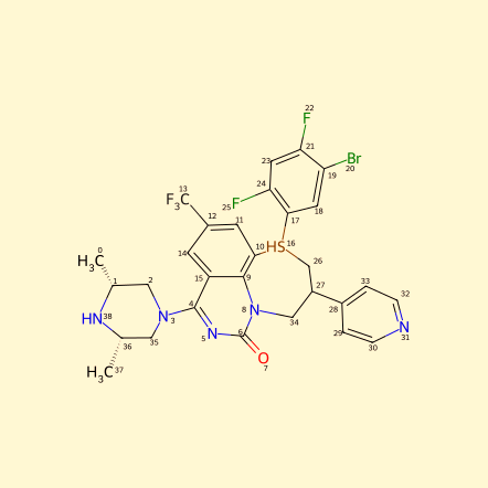 C[C@@H]1CN(c2nc(=O)n3c4c(cc(C(F)(F)F)cc24)[SH](c2cc(Br)c(F)cc2F)CC(c2ccncc2)C3)C[C@H](C)N1